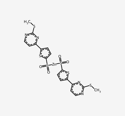 CSc1nccc(-c2ccc([S](=O)(=O)[Zn][S](=O)(=O)c3ccc(-c4ccnc(SC)n4)s3)s2)n1